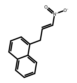 O=[N+]([O-])C=CCc1cccc2ccccc12